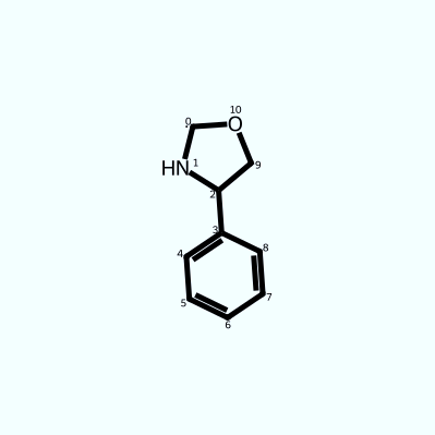 [CH]1NC(c2ccccc2)CO1